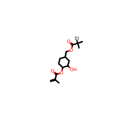 C=C(C)C(=O)OC1CCC(COC(=O)C(C)(C)CC)CC1O